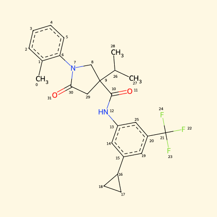 Cc1ccccc1N1CC(C(=O)Nc2cc(C3CC3)cc(C(F)(F)F)c2)(C(C)C)CC1=O